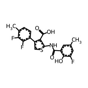 Cc1cc(F)c(O)c(C(=O)Nc2scc(-c3ccc(C)c(F)c3F)c2C(=O)O)c1